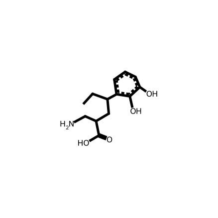 CCC(CC(CN)C(=O)O)c1cccc(O)c1O